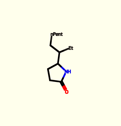 CCCCCCC(CC)C1CCC(=O)N1